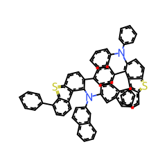 c1ccc(-c2cccc3c2sc2ccc(-c4ccc(-c5c(N(c6ccccc6)c6ccccc6)ccc6sc7ccccc7c56)cc4)c(N(c4ccc5ccccc5c4)c4ccc5ccccc5c4)c23)cc1